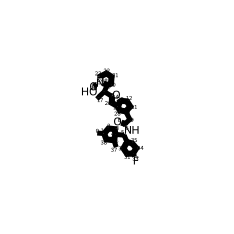 Cc1ccc(C(NC(=O)Cc2ccc3oc(C(CO)c4cccc[n+]4[O-])cc3c2)c2ccc(F)cc2)c(C)c1